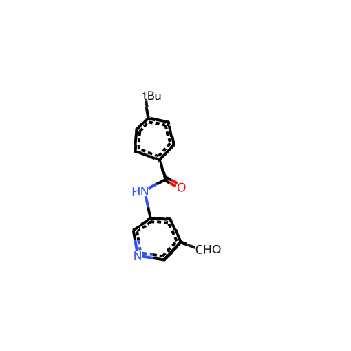 CC(C)(C)c1ccc(C(=O)Nc2cncc(C=O)c2)cc1